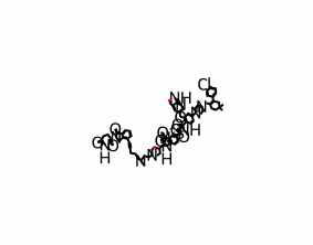 CN(CCCC#Cc1cccc2c1CN(C1CCC(=O)NC1=O)C2=O)CCN1CCC(CNc2ccc(S(=O)(=O)NC(=O)c3ccc(N4CCN(CC5=C(c6ccc(Cl)cc6)CC(C)(C)CC5)CC4)cc3Oc3cnc4[nH]ccc4c3)cc2[N+](=O)[O-])CC1